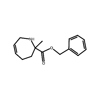 CC1(C(=O)OCc2ccccc2)CCC=CCN1